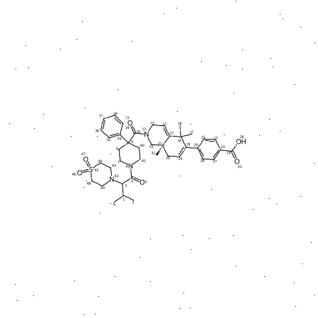 CC(C)C(C(=O)N1CCC(C(=O)N2CC=C3C(C)(C)C(c4ccc(C(=O)O)cc4)=CC[C@]3(C)C2)(c2ccccc2)CC1)N1CCS(=O)(=O)CC1